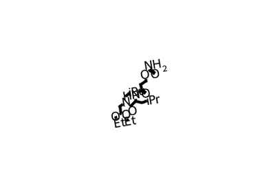 CCOC(CN(CC(C)CC)C(=O)C(CC(C)C)NC(=O)CCOC(N)=O)OCC